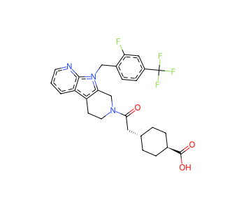 O=C(C[C@H]1CC[C@H](C(=O)O)CC1)N1CCc2c(n(Cc3ccc(C(F)(F)F)cc3F)c3ncccc23)C1